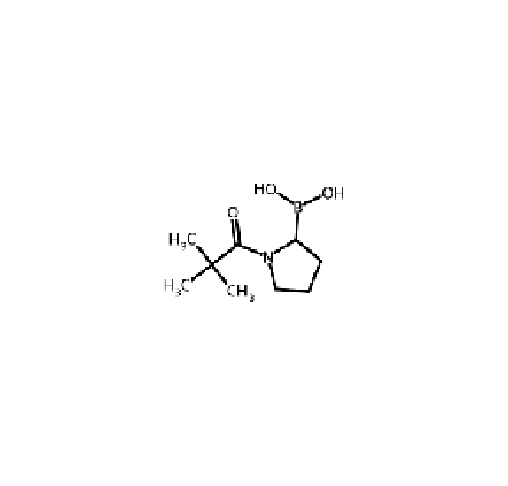 CC(C)(C)C(=O)N1CCCC1B(O)O